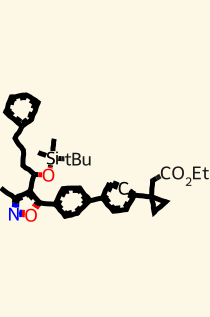 CCOC(=O)CC1(c2ccc(-c3ccc(-c4onc(C)c4C(CCCc4ccccc4)O[Si](C)(C)C(C)(C)C)cc3)cc2)CC1